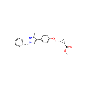 COC(=O)[C@@H]1C[C@H]1COc1ccc(-c2cn(Cc3ccccc3)nc2C)cc1